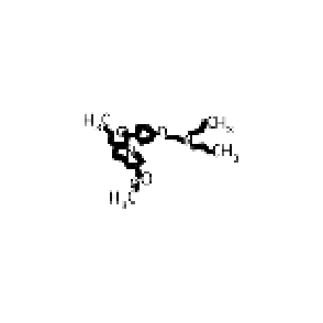 CCCCc1cc2cc(C(=O)OCC)ccn2c1C(=O)c1ccc(OCCCN(CCCC)CCCC)cc1